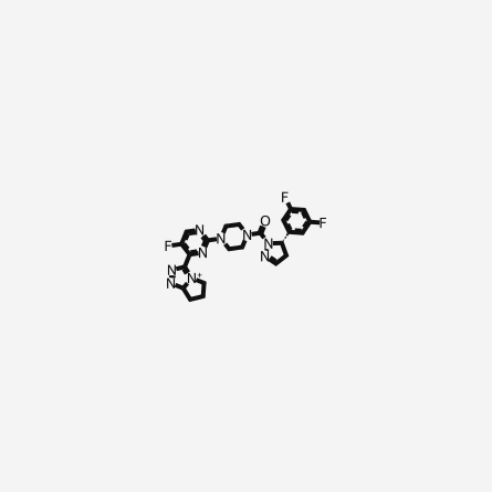 O=C(N1CCN(c2ncc(F)c(C3=[N+]4CCCC4N=N3)n2)CC1)N1N=CC[C@H]1c1cc(F)cc(F)c1